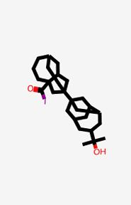 CC(C)(O)C1CC2CC3CC(C45CC6CCCC(C(=O)I)(C4)C(C6)C5)(C2)CC3C1